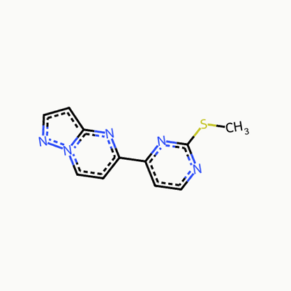 CSc1nccc(-c2ccn3nccc3n2)n1